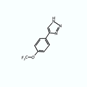 FC(F)(F)Oc1ccc(-c2c[nH]nn2)cc1